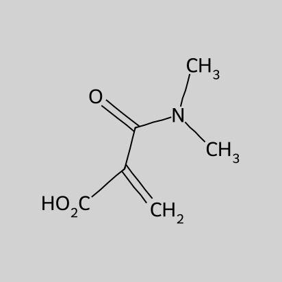 C=C(C(=O)O)C(=O)N(C)C